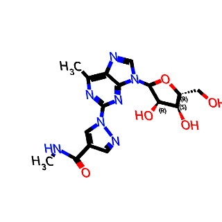 CNC(=O)c1cnn(-c2nc(C)c3ncn(C4O[C@H](CO)[C@@H](O)[C@H]4O)c3n2)c1